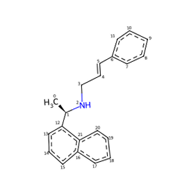 C[C@@H](NC/C=C/c1ccccc1)c1cccc2ccccc12